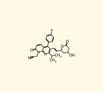 CC(C)c1nc2c(ccc(=O)n2CC#N)c(-c2ccc(F)cc2)c1/C=C/C1CC(O)CC(=O)O1